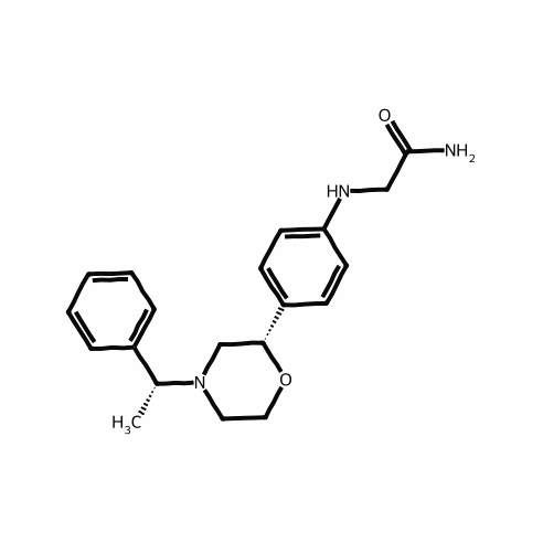 C[C@H](c1ccccc1)N1CCO[C@@H](c2ccc(NCC(N)=O)cc2)C1